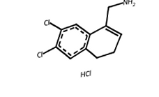 Cl.NCC1=CCCc2cc(Cl)c(Cl)cc21